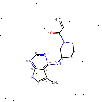 C=CC(=O)N1CCC[C@@H](Nc2ncnc3[nH]cc(C)c23)C1